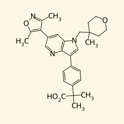 Cc1noc(C)c1-c1cnc2c(-c3ccc(C(C)(C)C(=O)O)cc3)cn(CC3(C)CCOCC3)c2c1